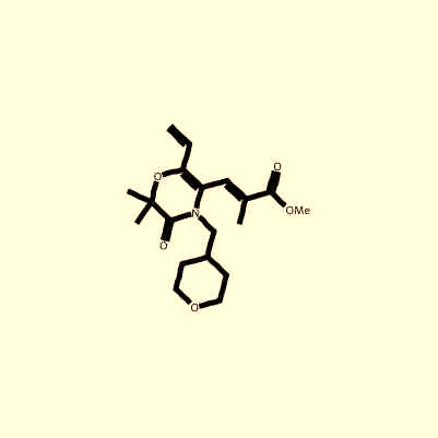 C=CC1=C(/C=C(\C)C(=O)OC)N(CC2CCOCC2)C(=O)C(C)(C)O1